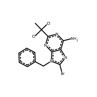 CC(Cl)(Cl)c1nc(N)c2nc(Br)n(Cc3ccccc3)c2n1